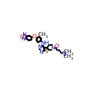 Cc1cc(Nc2ncnc3sc4c(c23)CCN(C(=O)/C=C/CN(C)C)C4)ccc1Oc1ccc2nonc2c1